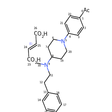 CC(=O)c1ccc(N2CCC(N(C)CCc3ccccc3)CC2)cc1.O=C(O)/C=C/C(=O)O